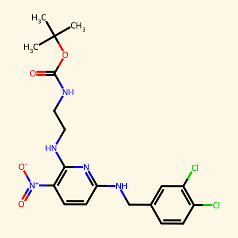 CC(C)(C)OC(=O)NCCNc1nc(NCc2ccc(Cl)c(Cl)c2)ccc1[N+](=O)[O-]